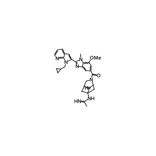 COc1cc(C(=O)N2CC3CC4(NC(C)=N)CC2[C@@H]34)cc2nc(-c3cc4cccnc4n3CC3CC3)n(C)c12